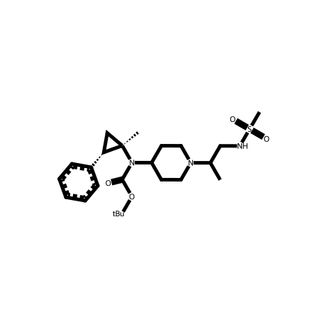 CC(CNS(C)(=O)=O)N1CCC(N(C(=O)OC(C)(C)C)[C@]2(C)C[C@H]2c2ccccc2)CC1